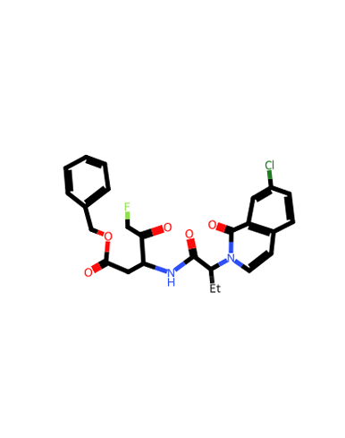 CCC(C(=O)NC(CC(=O)OCc1ccccc1)C(=O)CF)n1ccc2ccc(Cl)cc2c1=O